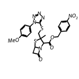 COc1ccc(-n2nnnc2SCC2(C)SC3CC(=O)N3C2C(=O)OCc2ccc([N+](=O)[O-])cc2)cc1